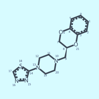 c1ccc2c(c1)OC[C@H](CN1CCN(c3nncs3)CC1)O2